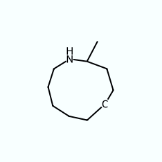 CC1CCCCCCCCN1